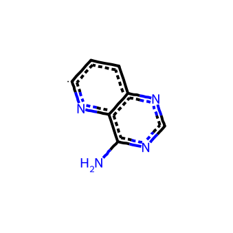 Nc1ncnc2cc[c]nc12